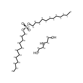 CCCCCCCCCCCCOS(=O)(=O)OCCCCCCCCCCCC.OCCNCCO